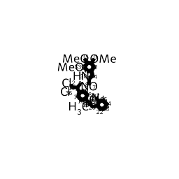 COc1cc2cc(C(=O)N3CC(CCl)c4ccc([N+](C)(C)Cc5ccccc5[N+](=O)[O-])cc43)[nH]c2c(OC)c1OC.[Cl-]